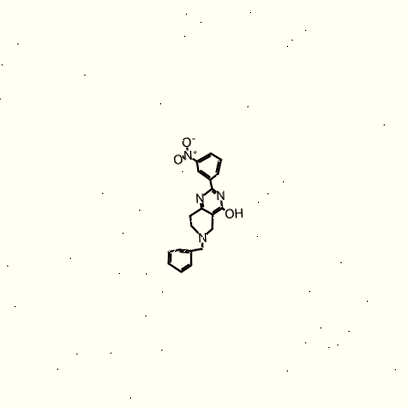 O=[N+]([O-])c1cccc(-c2nc(O)c3c(n2)CCN(Cc2ccccc2)C3)c1